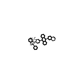 CC1C=C(c2c3ccccc3c(-c3ccc4c(c3)CCC=C4)c3ccccc23)C=CC1n1c(-c2ccccc2)nc2ccccc21